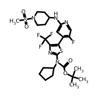 CC(C)(C)OC(=O)N(c1nc(C(F)(F)F)c(-c2cc(NC3CCN(S(C)(=O)=O)CC3)ncc2F)s1)C1CCCC1